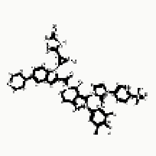 Cc1cc(-n2nc3c(c2-n2ccn(-c4ccc(P(C)(C)=O)nc4)c2=O)[C@H](C)N(C(=O)c2cc4cc(C5CCOCC5)ccc4n2[C@@H]2C(c4noc(=O)[nH]4)[C@@H]2C)CC3)cc(C)c1F